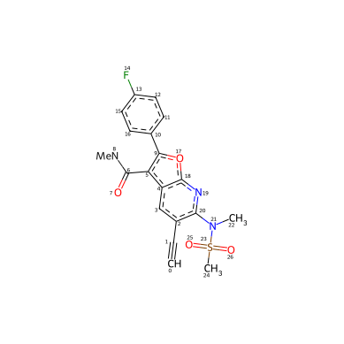 C#Cc1cc2c(C(=O)NC)c(-c3ccc(F)cc3)oc2nc1N(C)S(C)(=O)=O